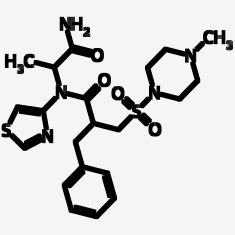 CC(C(N)=O)N(C(=O)C(Cc1ccccc1)CS(=O)(=O)N1CCN(C)CC1)c1cscn1